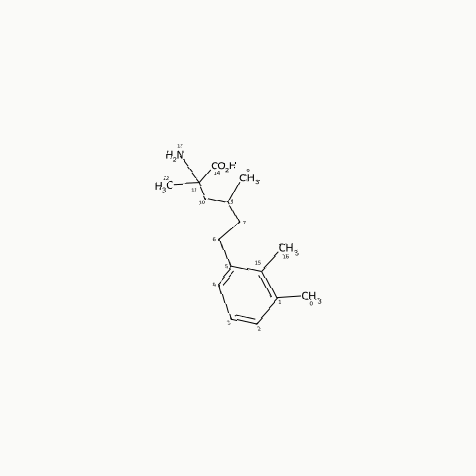 Cc1cccc(CCC(C)CC(C)(N)C(=O)O)c1C